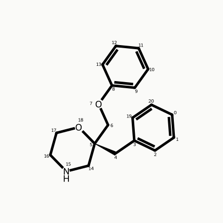 c1ccc(C[C@@]2(COc3ccccc3)CNCCO2)cc1